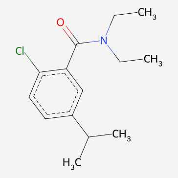 CCN(CC)C(=O)c1cc(C(C)C)ccc1Cl